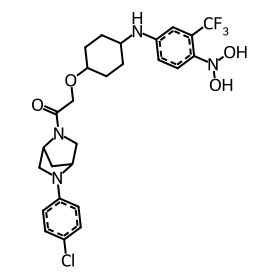 O=C(COC1CCC(Nc2ccc(N(O)O)c(C(F)(F)F)c2)CC1)N1CC2CC1CN2c1ccc(Cl)cc1